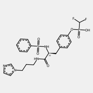 O=C(NCCCn1ccnc1)[C@H](Cc1ccc(OP(=O)(O)C(F)F)cc1)NS(=O)(=O)c1ccccc1